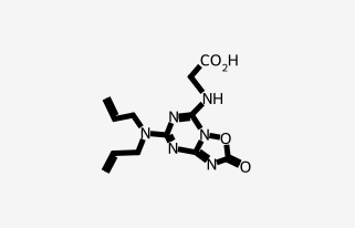 C=CCN(CC=C)c1nc(NCC(=O)O)n2oc(=O)nc2n1